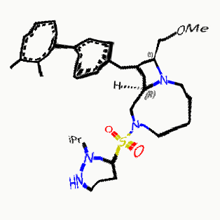 COC[C@@H]1C(c2ccc(-c3cccc(C)c3C)cc2)[C@@H]2CN(S(=O)(=O)C3CCNN3C(C)C)CCCCN12